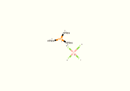 CCCCCC[PH+](CCCCCC)CCCCCC.F[B-](F)(F)F